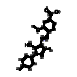 COc1cc([N+](=O)[O-])ccc1/N=N/c1c(C)nn(-c2ccc(C)cc2)c1O